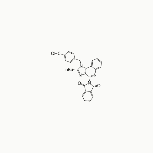 CCCCc1nc2c(N3C(=O)c4ccccc4C3=O)nc3ccccc3c2n1Cc1ccc(C=O)cc1